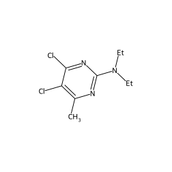 CCN(CC)c1nc(C)c(Cl)c(Cl)n1